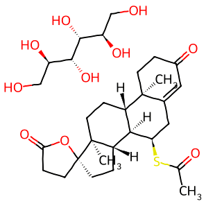 CC(=O)S[C@@H]1CC2=CC(=O)CC[C@]2(C)[C@H]2CC[C@@]3(C)[C@@H](CC[C@@]34CCC(=O)O4)[C@H]12.OC[C@@H](O)[C@@H](O)[C@H](O)[C@H](O)CO